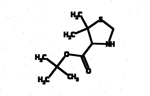 CC(C)(C)OC(=O)C1NCSC1(C)C